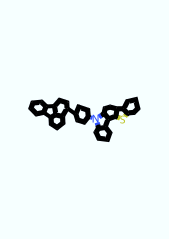 c1ccc2c(c1)-c1cccc3c(-c4ccc(-n5c6ccccc6c6c7sc8ccccc8c7ccc65)cc4)ccc-2c13